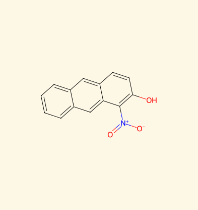 O=[N+]([O-])c1c(O)ccc2cc3ccccc3cc12